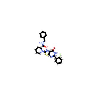 O=C(NCc1ccccc1)[C@H]1CCCCN1c1nc2c(=O)[nH]c(-c3ccccc3F)nc2s1